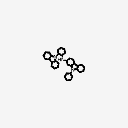 c1ccc(-n2c3ccccc3c3ccc(Nc4ccccc4-n4c5ccccc5c5ccccc54)cc32)cc1